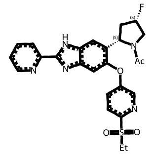 CCS(=O)(=O)c1ccc(Oc2cc3nc(-c4ccccn4)[nH]c3cc2[C@@H]2C[C@H](F)CN2C(C)=O)cn1